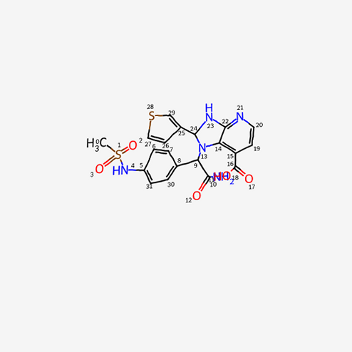 CS(=O)(=O)Nc1ccc(C(C(N)=O)N2c3c(C(=O)O)ccnc3NC2c2ccsc2)cc1